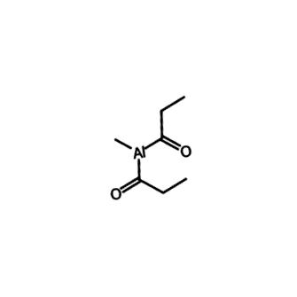 CC[C](=O)[Al]([CH3])[C](=O)CC